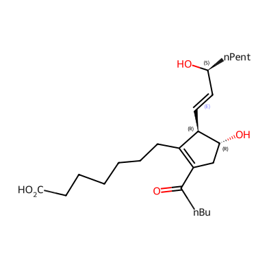 CCCCC[C@H](O)/C=C/[C@@H]1C(CCCCCCC(=O)O)=C(C(=O)CCCC)C[C@H]1O